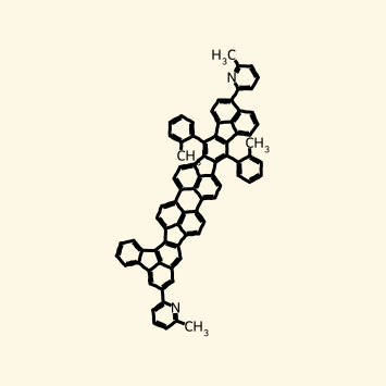 Cc1cccc(-c2cc3cc4c5ccc6c7ccc8c9c(-c%10ccccc%10C)c%10c%11cccc%12c(-c%13cccc(C)n%13)ccc(c%10c(-c%10ccccc%10C)c9c9ccc(c%10ccc(c5c6%10)c4c4c5ccccc5c(c2)c34)c7c89)c%12%11)n1